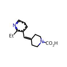 CCc1ncccc1C=C1CCN(C(=O)O)CC1